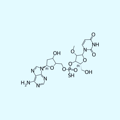 COC1C(OP(=O)(S)OCC2O[C@@H](n3cnc4c(N)ncnc43)CC2O)[C@@H](CO)OC1n1ccc(=O)[nH]c1=O